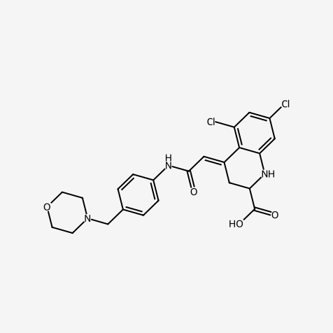 O=C(C=C1CC(C(=O)O)Nc2cc(Cl)cc(Cl)c21)Nc1ccc(CN2CCOCC2)cc1